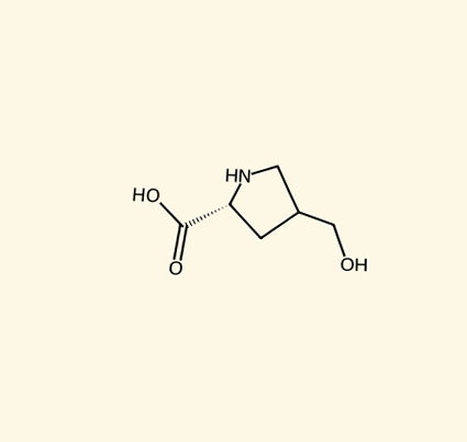 O=C(O)[C@H]1CC(CO)CN1